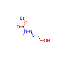 CCOC(=O)N(C)N=NCCO